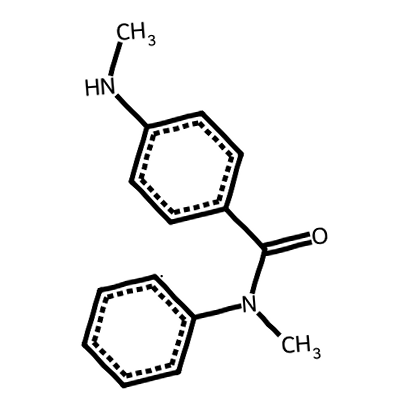 CNc1ccc(C(=O)N(C)c2[c]cccc2)cc1